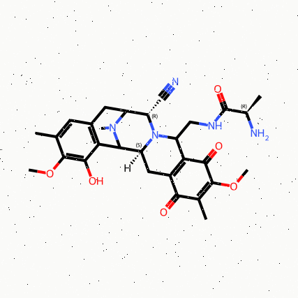 COC1=C(C)C(=O)C2=C(C1=O)C(CNC(=O)[C@@H](C)N)N1[C@@H](C#N)C3Cc4cc(C)c(OC)c(O)c4C([C@@H]1C2)N3C